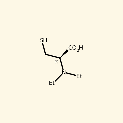 CCN(CC)[C@@H](CS)C(=O)O